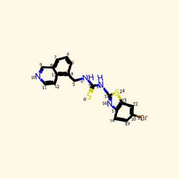 S=C(NCc1cccc2cnccc12)Nc1nc2ccc(Br)cc2s1